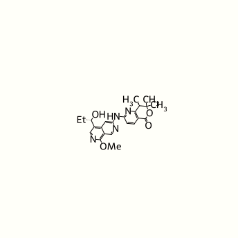 CC[C@H](O)c1cnc(OC)c2cnc(Nc3ccc4c(n3)[C@@H](C)C(C)(C)OC4=O)cc12